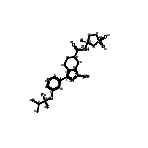 CC(C)n1nc(-c2cncc(OC(F)(F)C(F)F)c2)c2c1C[C@H](C(=O)N[C@@]1(C)CCS(=O)(=O)C1)CC2